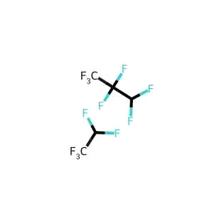 FC(F)C(F)(F)C(F)(F)F.FC(F)C(F)(F)F